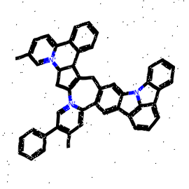 Cc1ccc2[n+](c1)C1CC3=C(Cc4cc5c(cc4-c4cc(C)c(-c6ccccc6)c[n+]43)c3cccc4c6ccccc6n5c43)C1c1ccccc1-2